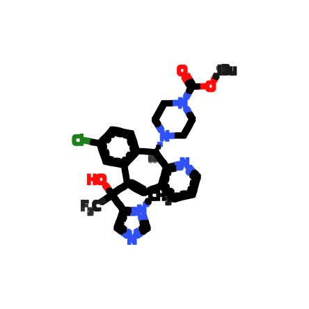 Cn1cncc1C(O)(C1=Cc2cccnc2[C@@H](N2CCN(C(=O)OC(C)(C)C)CC2)c2ccc(Cl)cc21)C(F)(F)F